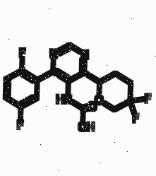 O=C(O)Nc1c(-c2cc(F)ccc2F)ncnc1C1CCC(F)(F)CO1